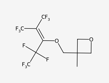 CC1(COC(=C(C(F)(F)F)C(F)(F)F)C(F)(F)C(F)(F)F)COC1